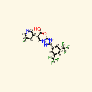 O=C(O)/C(=C\n1cnc(-c2cc(C(F)(F)F)cc(C(F)(F)F)c2)n1)c1cncc(F)c1